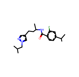 CC(C)Cn1cc(CCC(C)NC(=O)c2ccc(C(C)C)cc2F)cn1